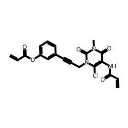 C=CC(=O)Nc1c(Cl)n(CC#Cc2cccc(OC(=O)C=C)c2)c(=O)n(C)c1=O